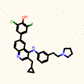 Oc1c(F)cc(-c2ccc3ncc(CC4CC4)c(Nc4cccc(CCN5CCCC5)c4)c3c2)cc1Cl